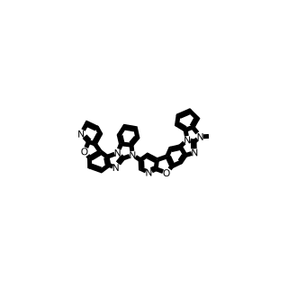 Cn1c2ccccc2n2c3cc4c(cc3nc12)oc1ncc(-n2c3ccccc3n3c5c(ccc6oc7ncccc7c65)nc23)cc14